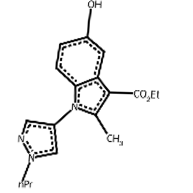 CCCn1cc(-n2c(C)c(C(=O)OCC)c3cc(O)ccc32)cn1